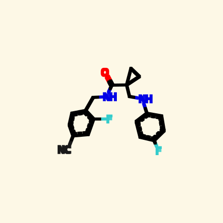 N#Cc1ccc(CNC(=O)C2(CNc3ccc(F)cc3)CC2)c(F)c1